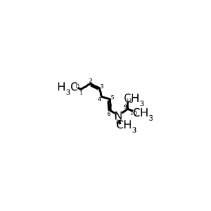 CC/C=C\C/C=C/N(C)C(C)C